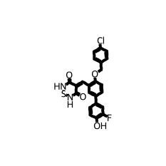 O=C1NSNC(=O)C1=Cc1cc(-c2ccc(O)c(F)c2)ccc1OCc1ccc(Cl)cc1